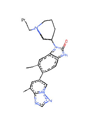 Cc1cc2c(cc1-c1cc(C)c3ncnn3c1)[nH]c(=O)n2C1CCCN(CC(C)C)C1